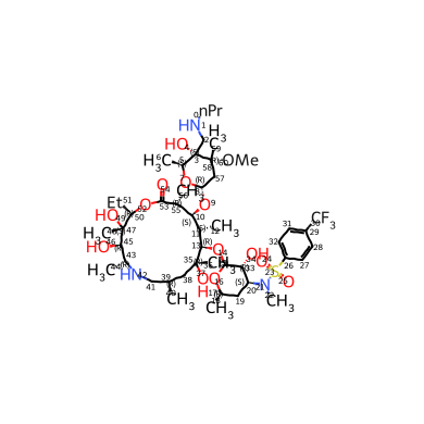 CCCNC[C@]1(O)[C@H](C)O[C@@H](O[C@H]2[C@H](C)[C@@H](O[C@@H]3O[C@H](C)C[C@H](N(C)S(=O)(=O)c4ccc(C(F)(F)F)cc4)[C@H]3O)[C@](C)(O)C[C@@H](C)CN[C@H](C)[C@@H](O)[C@](C)(O)[C@@H](CC)OC(=O)[C@@H]2C)C[C@@]1(C)OC